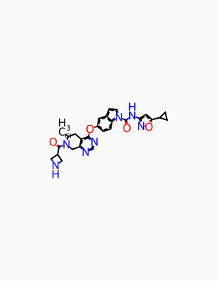 C[C@H]1Cc2c(ncnc2Oc2ccc3c(ccn3C(=O)Nc3cc(C4CC4)on3)c2)CN1C(=O)C1CNC1